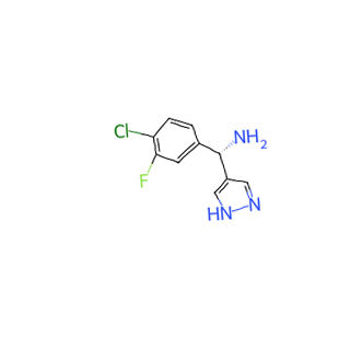 N[C@H](c1cn[nH]c1)c1ccc(Cl)c(F)c1